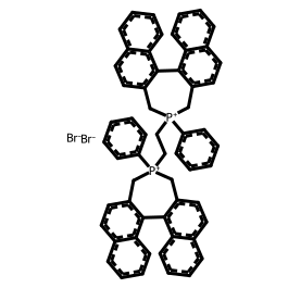 [Br-].[Br-].c1ccc([P+]2(CC[P+]3(c4ccccc4)Cc4ccc5ccccc5c4-c4c(ccc5ccccc45)C3)Cc3ccc4ccccc4c3-c3c(ccc4ccccc34)C2)cc1